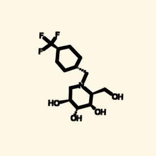 OC[C@H]1[C@@H](O)[C@H](O)[C@@H](O)CN1C[C@H]1CC[C@H](C(F)(F)F)CC1